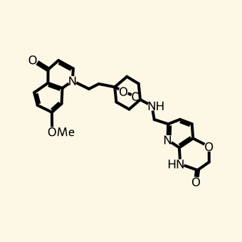 COc1ccc2c(=O)ccn(CCC34CCC(NCc5ccc6c(n5)NC(=O)CO6)(CC3)CO4)c2c1